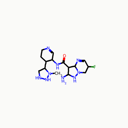 CN1NNCC1C1CCN=CC1NC(=O)C1C(N)NN2CC(F)C=NC12